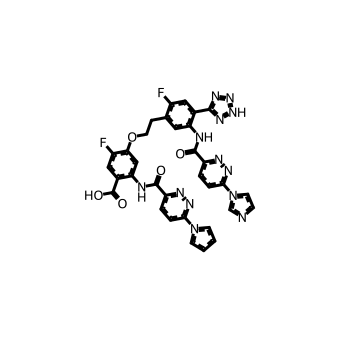 O=C(Nc1cc(OCCc2cc(NC(=O)c3ccc(-n4ccnc4)nn3)c(-c3nn[nH]n3)cc2F)c(F)cc1C(=O)O)c1ccc(-n2cccc2)nn1